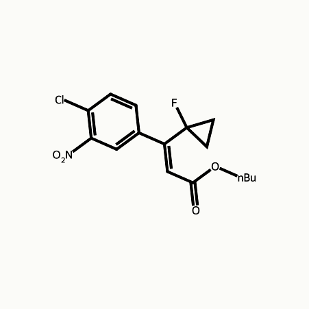 CCCCOC(=O)C=C(c1ccc(Cl)c([N+](=O)[O-])c1)C1(F)CC1